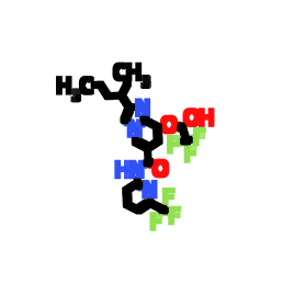 CCCC(CC)c1cn2cc(C(=O)Nc3cccc(C(F)(F)F)n3)ccc2n1.O=C(O)C(F)(F)F